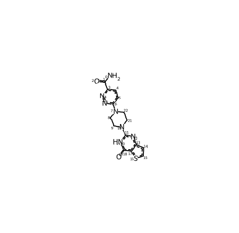 NC(=O)c1ccc(N2CCN(c3nc4ccsc4c(=O)[nH]3)CC2)nn1